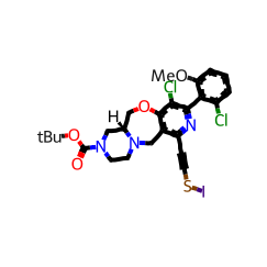 COc1cccc(Cl)c1-c1nc(C#CSI)c2c(c1Cl)OC[C@H]1CN(C(=O)OC(C)(C)C)CCN1C2